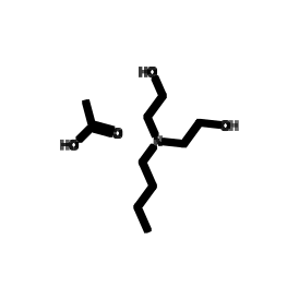 CC(=O)O.CCCCN(CCO)CCO